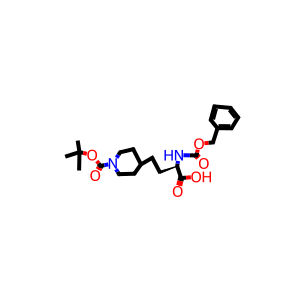 CC(C)(C)OC(=O)N1CCC(CC[C@@H](NC(=O)OCc2ccccc2)C(=O)O)CC1